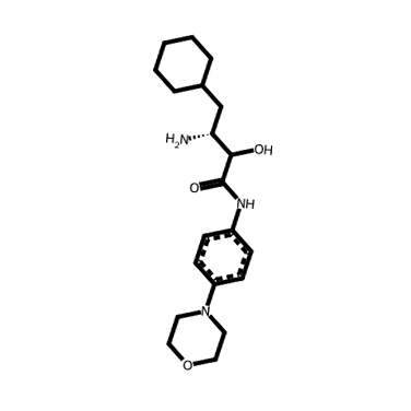 N[C@H](CC1CCCCC1)C(O)C(=O)Nc1ccc(N2CCOCC2)cc1